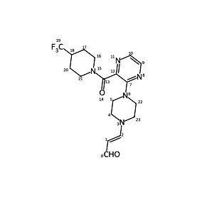 O=CC=CN1CCN(c2nccnc2C(=O)N2CCC(C(F)(F)F)CC2)CC1